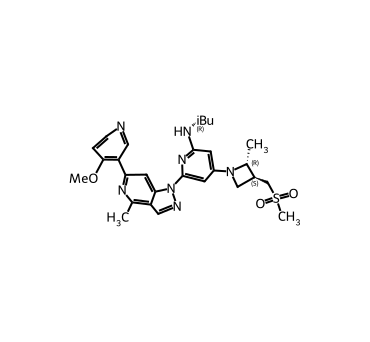 CC[C@@H](C)Nc1cc(N2C[C@H](CS(C)(=O)=O)[C@H]2C)cc(-n2ncc3c(C)nc(-c4cnccc4OC)cc32)n1